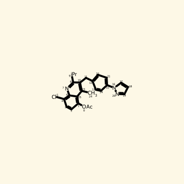 CC(=O)Oc1ccc(Cl)c2nc(C(C)C)c(Cc3ccc(-n4cccn4)cc3)c(C)c12